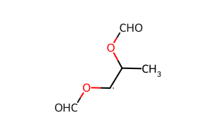 CC([CH]OC=O)OC=O